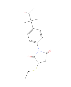 BC(C)C(C)(C)c1ccc(N2C(=O)CC(SCC)C2=O)cc1